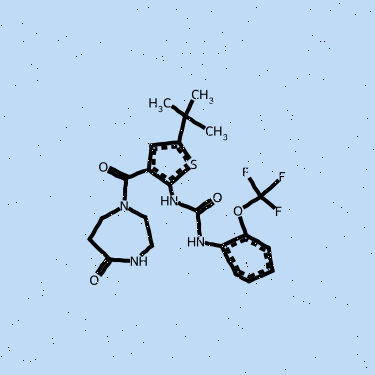 CC(C)(C)c1cc(C(=O)N2CCNC(=O)CC2)c(NC(=O)Nc2ccccc2OC(F)(F)F)s1